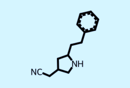 N#CCC1CNC(CCc2ccccc2)C1